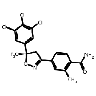 Cc1cc(C2=NO[C@@](c3cc(Cl)c(Cl)c(Cl)c3)(C(F)(F)F)C2)ccc1C(N)=O